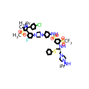 Cc1c(S(C)(=O)=O)c(-c2cc(F)cc(N3CCN(c4ccc(NS(=O)(=O)c5ccc(N[C@H](CCN6CCN(NC(C)C)CC6)CSc6ccccc6)c(S(=O)(=O)C(F)(F)F)c5)cc4)CC3)c2)c(-c2ccc(Cl)cc2)n1C(C)C